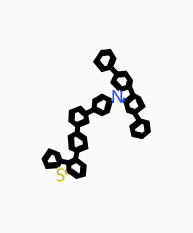 c1ccc(-c2ccc3c4ccc(-c5ccccc5)cc4n(-c4ccc(-c5cccc(-c6ccc(-c7cccc8sc9ccccc9c78)cc6)c5)cc4)c3c2)cc1